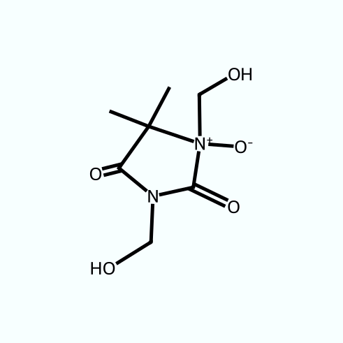 CC1(C)C(=O)N(CO)C(=O)[N+]1([O-])CO